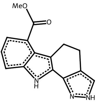 COC(=O)c1cccc2[nH]c3c(c12)CCc1c[nH]nc1-3